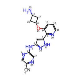 N#Cc1cnc(Nc2cc(-c3ncccc3OC3CC(N)C3)[nH]n2)cn1